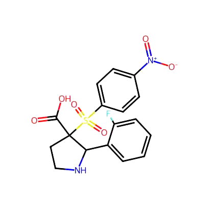 O=C(O)C1(S(=O)(=O)c2ccc([N+](=O)[O-])cc2)CCNC1c1ccccc1F